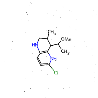 COC(C)C1C2=C(C=C=C(Cl)N2)NCC1C